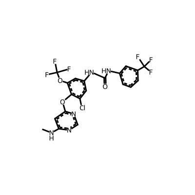 CNc1cc(Oc2c(Cl)cc(NC(=O)Nc3cccc(C(F)(F)F)c3)cc2OC(F)(F)F)ncn1